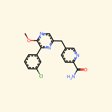 COc1ncc(Cc2ccc(C(N)=O)nc2)nc1-c1cccc(Cl)c1